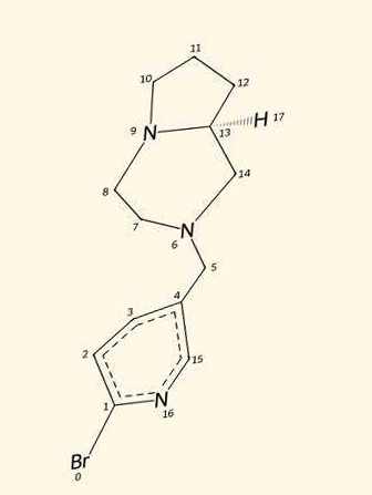 Brc1ccc(CN2CCN3CCC[C@H]3C2)cn1